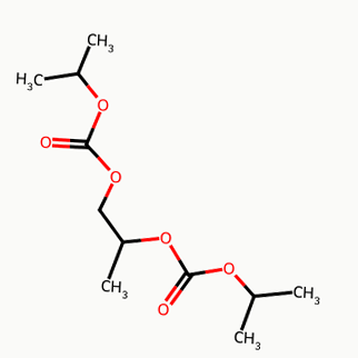 CC(C)OC(=O)OCC(C)OC(=O)OC(C)C